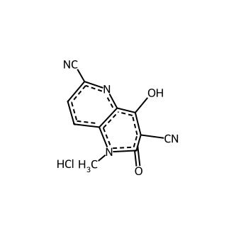 Cl.Cn1c(=O)c(C#N)c(O)c2nc(C#N)ccc21